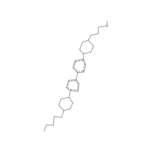 CCCCCC1CCC(c2ccc(-c3ccc(C4CCC(CCCOC)CC4)cc3)cc2)CC1